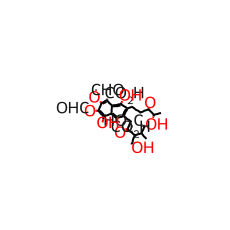 CC(O)C(=O)CCc1c(CC(=O)C(CO)C(C)CC(=O)O)c(C(=O)O)c2c(O)c(OC=O)c(OC=O)c(C(=O)O)c2c1O